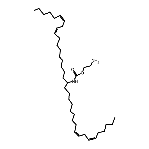 CCCCC/C=C\C/C=C\CCCCCCCCC(CCCCCCCC/C=C\C/C=C\CCCCC)NC(=O)OCCN